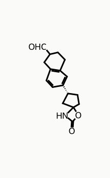 O=CC1CCc2cc([C@@H]3CCC4(C3)NC(=O)O4)ccc2C1